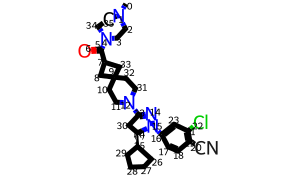 CN1CCN(C(=O)C2CC3(CCN(C4=NN(c5ccc(C#N)c(Cl)c5)[C@@H](C5CCCC5)C4)CC3)C2)CC1